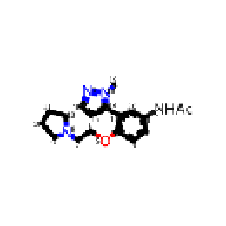 CC(=O)Nc1ccc(OCCN2CCCC2)c(-c2ccnn2C)c1